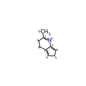 CC1=NC2=CCC=C2CC1